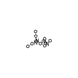 c1ccc(-c2ccc(-c3cc(-c4ccc(-c5ccccc5)cc4)nc(-c4ccc(-c5cccc6nc(-c7ccccc7)c7c8ccccc8oc7c56)cc4)n3)cc2)cc1